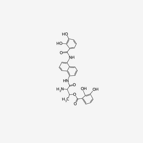 CC(OC(=O)c1cccc(O)c1O)C(N)C(=O)Nc1cccc2c(NC(=O)c3cccc(O)c3O)cccc12